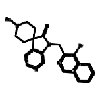 CC(=O)N1CCC2(CC1)C(=O)N(Cc1ncc3ccccc3c1Br)c1cnccc12